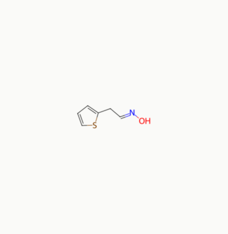 ON=CCc1cccs1